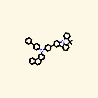 CC1(C)c2ccccc2-n2c3ccc(-c4ccc(N(c5ccc(-c6ccccc6)cc5)c5ccc6ccc7ccccc7c6c5)cc4)cc3c3cccc1c32